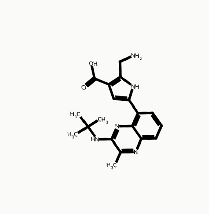 Cc1nc2cccc(-c3cc(C(=O)O)c(CN)[nH]3)c2nc1NC(C)(C)C